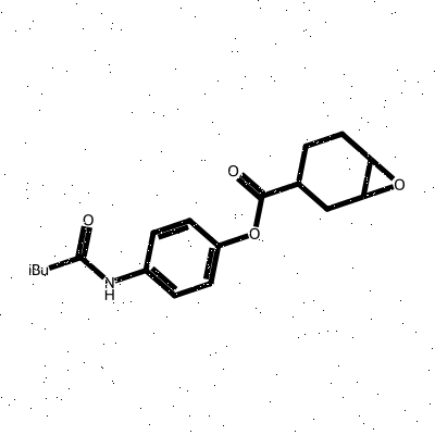 CCC(C)C(=O)Nc1ccc(OC(=O)C2CCC3OC3C2)cc1